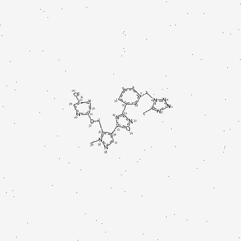 Cc1nnnn1Cc1cccc(-c2noc(-c3cnn(C)c3COc3ccc(C(F)(F)F)cn3)n2)c1